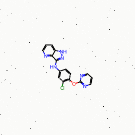 Clc1cc(Nc2n[nH]c3cccnc23)ccc1Oc1ncccn1